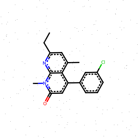 CCc1cc(C)c2c(-c3cccc(Cl)c3)cc(=O)n(C)c2n1